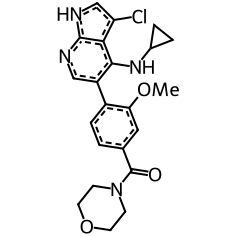 COc1cc(C(=O)N2CCOCC2)ccc1-c1cnc2[nH]cc(Cl)c2c1NC1CC1